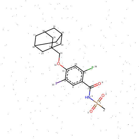 CS(=O)(=O)NC(=O)c1cc(I)c(OCC23CC4CC(CC(C4)C2)C3)cc1F